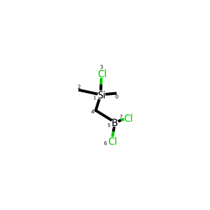 C[Si](C)(Cl)CB(Cl)Cl